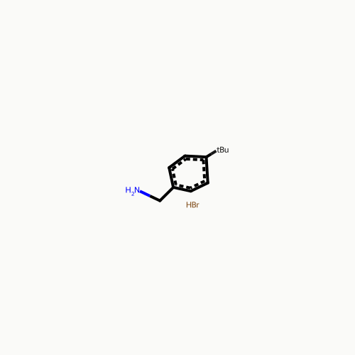 Br.CC(C)(C)c1ccc(CN)cc1